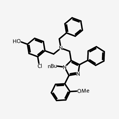 CCCCn1c(-c2ccccc2OC)nc(-c2ccccc2)c1CN(Cc1ccccc1)Cc1ccc(O)cc1Cl